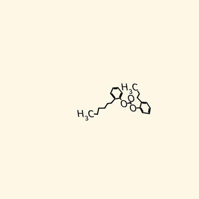 CCCCCCc1ccccc1OC(=O)Oc1ccccc1CCC